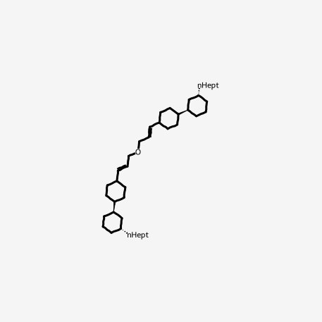 CCCCCCC[C@@H]1CCC[C@@H](C2CCC(/C=C/COC/C=C/C3CCC([C@@H]4CCC[C@@H](CCCCCCC)C4)CC3)CC2)C1